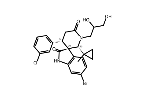 CC1([C@H]2N(CC(O)CO)C(=O)C[C@@H](c3cccc(Cl)c3)[C@]23C(=O)Nc2cc(Br)ccc23)CC1